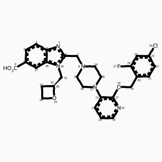 O=C(O)c1ccc2nc(CN3CCN(c4cccnc4OCc4ccc(Cl)cc4F)CC3)n(C[C@@H]3CCO3)c2c1